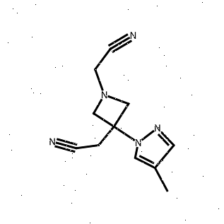 Cc1cnn(C2(CC#N)CN(CC#N)C2)c1